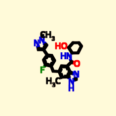 Cc1c(Cc2ccc(-c3cnn(C)c3)cc2F)cc(C(=O)N[C@@H]2CCCC[C@H]2O)c2nc[nH]c12